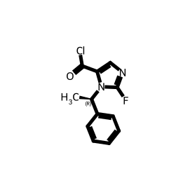 C[C@H](c1ccccc1)n1c(C(=O)Cl)cnc1F